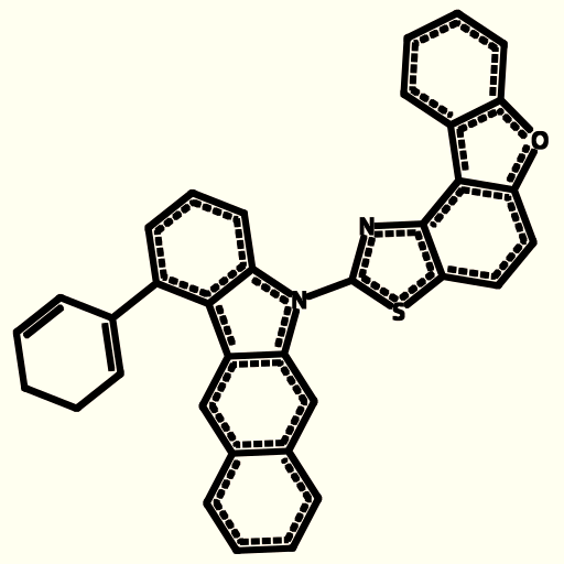 C1=CC(c2cccc3c2c2cc4ccccc4cc2n3-c2nc3c(ccc4oc5ccccc5c43)s2)=CCC1